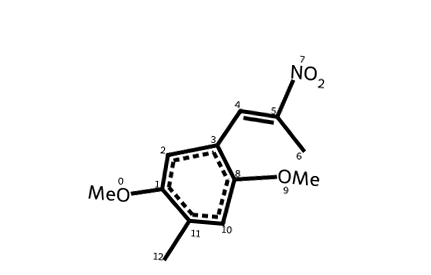 COc1cc(C=C(C)[N+](=O)[O-])c(OC)cc1C